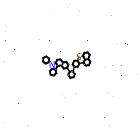 c1ccc(-n2c3ccccc3c3c4cc(-c5ccccc5-c5ccc6c(c5)-c5cccc7cccc(c57)S6)ccc4ccc32)cc1